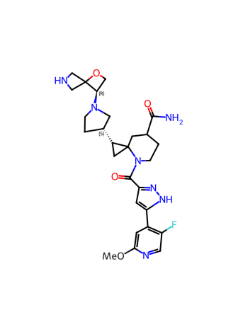 COc1cc(-c2cc(C(=O)N3CCC(C(N)=O)CC34CC4[C@@H]3CCN([C@@H]4COC45CNC5)C3)n[nH]2)c(F)cn1